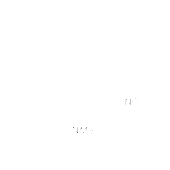 CNc1ccccc1.O=[N+]([O-])c1ccccc1